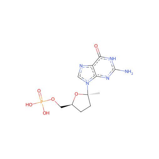 C[C@]1(n2cnc3c(=O)[nH]c(N)nc32)CC[C@@H](COP(=O)(O)O)O1